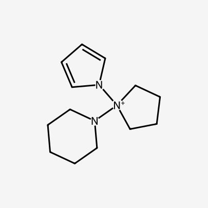 c1ccn([N+]2(N3CCCCC3)CCCC2)c1